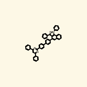 c1ccc(-c2cc(-c3ccccc3)nc(-c3ccc(-c4ccc(-c5cc6ccccc6c6c5c(-c5ccccc5)nn6-c5ccccc5)cc4)cc3)n2)cc1